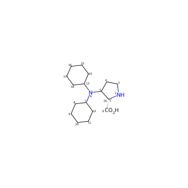 O=C(O)[C@H]1NCCC1N(C1CCCCC1)C1CCCCC1